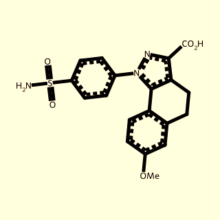 COc1ccc2c(c1)CCc1c(C(=O)O)nn(-c3ccc(S(N)(=O)=O)cc3)c1-2